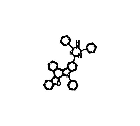 c1ccc(C2=NC(c3ccc4c(c3)c3c5ccccc5c5c6ccccc6oc5c3n4-c3ccccc3)=NC(c3ccccc3)N2)cc1